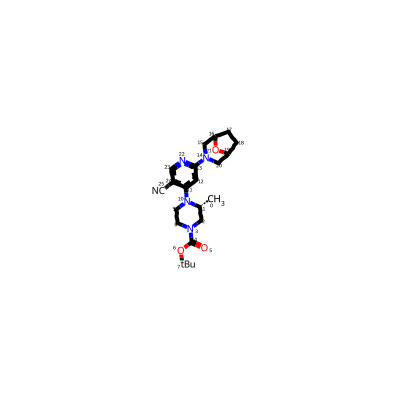 C[C@@H]1CN(C(=O)OC(C)(C)C)CCN1c1cc(N2CC3CCC(C2)O3)ncc1C#N